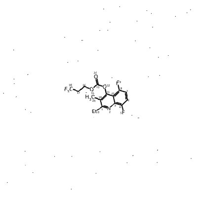 CCc1nc2c(F)ccc(F)c2c(OC(=O)OCCC(F)(F)F)c1C